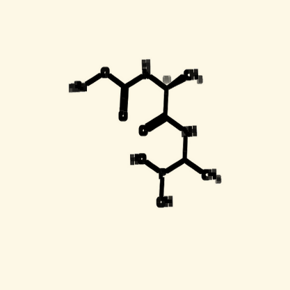 CCCCOC(=O)N[C@@H](C)C(=O)NC(C)P(O)O